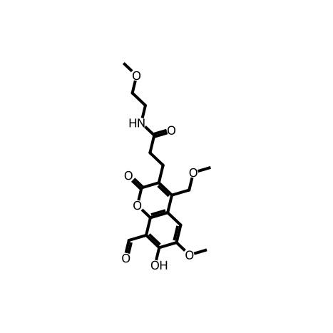 COCCNC(=O)CCc1c(COC)c2cc(OC)c(O)c(C=O)c2oc1=O